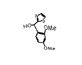 COc1ccc(C(O)c2nccs2)c(OC)c1